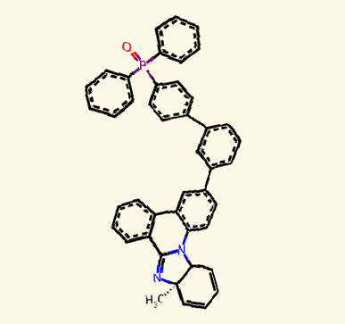 C[C@@]12C=CC=CC1N1C(=N2)c2ccccc2-c2cc(-c3cccc(-c4ccc(P(=O)(c5ccccc5)c5ccccc5)cc4)c3)ccc21